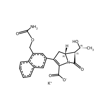 C[C@@H](O)[C@H]1C(=O)N2C(C(=O)[O-])=C(c3cc(COC(N)=O)c4ccccc4c3)C[C@H]12.[K+]